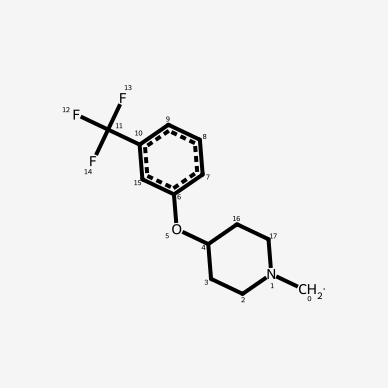 [CH2]N1CCC(Oc2cccc(C(F)(F)F)c2)CC1